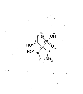 CC(O)C(CN)(C(C)O)S(=O)(=O)O